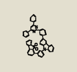 O=S1(=O)c2ccccc2-c2cccc(-c3cccc(-n4c5ccccc5c5cc(-c6cccc(-c7nc(-c8ccccc8)cc(-c8ccccc8)n7)c6)ccc54)c3)c21